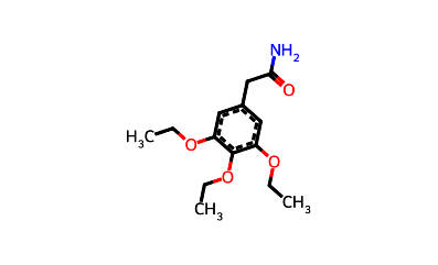 CCOc1cc(CC(N)=O)cc(OCC)c1OCC